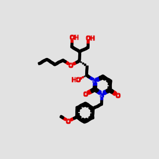 CCCCO[C@@H](C[C@@H](O)n1ccc(=O)n(Cc2ccc(OC)cc2)c1=O)C(CO)CO